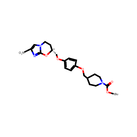 CC(C)(C)OC(=O)N1CCC(COc2ccc(OC[C@H]3CCn4cc([N+](=O)[O-])nc4O3)cc2)CC1